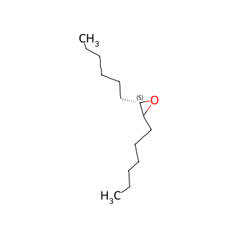 CCCCCCC1O[C@H]1CCCCCC